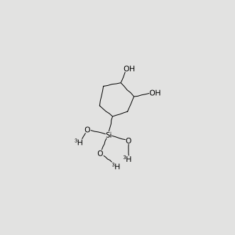 [3H]O[Si](O[3H])(O[3H])C1CCC(O)C(O)C1